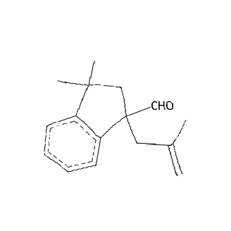 C=C(C)CC1(C=O)CC(C)(C)c2ccccc21